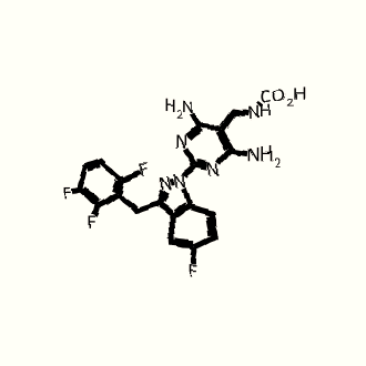 Nc1nc(-n2nc(Cc3c(F)ccc(F)c3F)c3cc(F)ccc32)nc(N)c1CNC(=O)O